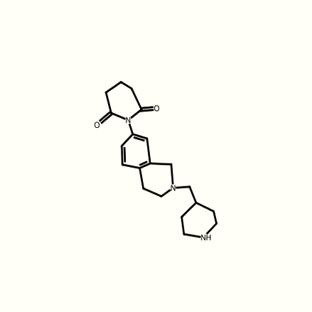 O=C1CCCC(=O)N1c1ccc2c(c1)CN(CC1CCNCC1)CC2